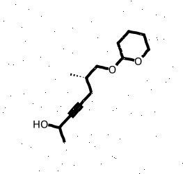 CC(O)C#CC[C@H](C)COC1CCCCO1